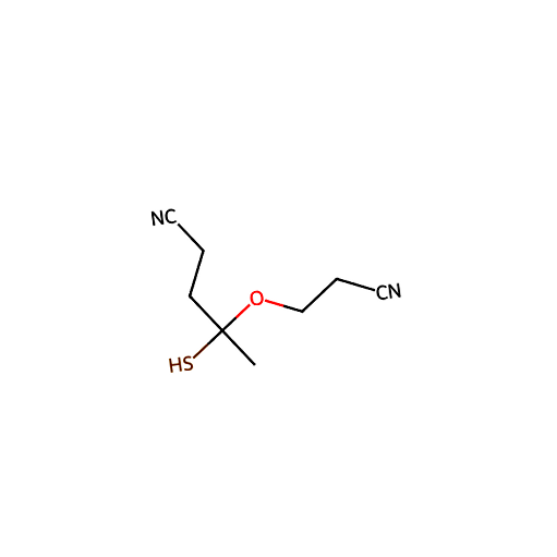 CC(S)(CCC#N)OCCC#N